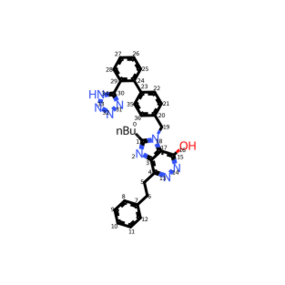 CCCCc1nc2c(CCc3ccccc3)nnc(O)c2n1Cc1ccc(-c2ccccc2-c2nnn[nH]2)cc1